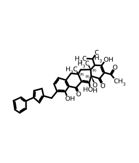 CC(=O)C1=C(O)C(C(C)C)[C@@]2(C)C[C@@]3(C)Cc4ccc(CC5=CC(c6ccccc6)=CC5)c(O)c4C(=O)C3=C(O)[C@@]2(O)C1=O